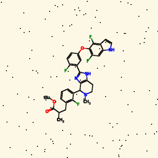 CC(Cc1cccc(C2c3nc(-c4cc(Oc5c(F)cc6[nH]ccc6c5F)ccc4F)[nH]c3CCN2C)c1F)C(=O)OC(C)(C)C